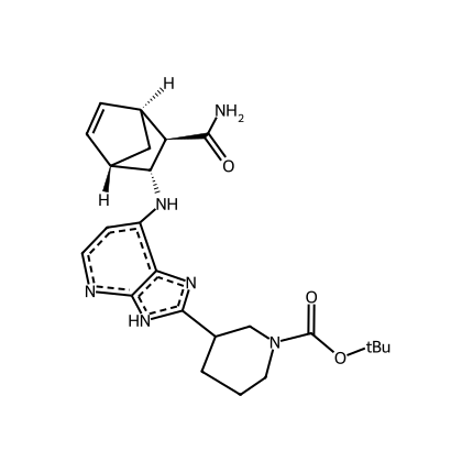 CC(C)(C)OC(=O)N1CCCC(c2nc3c(N[C@H]4[C@H](C(N)=O)[C@@H]5C=C[C@@H]4C5)ccnc3[nH]2)C1